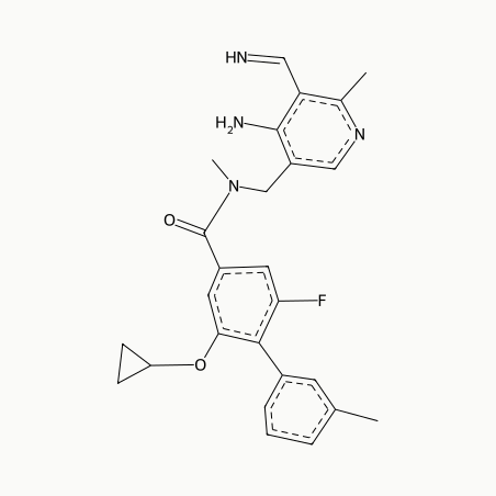 Cc1cccc(-c2c(F)cc(C(=O)N(C)Cc3cnc(C)c(C=N)c3N)cc2OC2CC2)c1